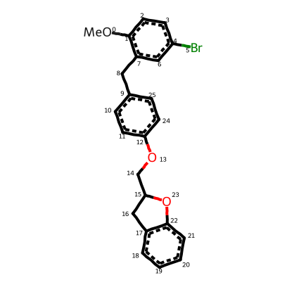 COc1ccc(Br)cc1Cc1ccc(OCC2Cc3ccccc3O2)cc1